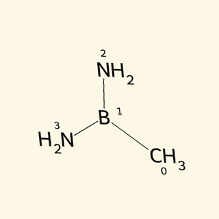 CB(N)N